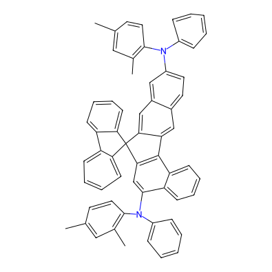 Cc1ccc(N(c2ccccc2)c2ccc3cc4c(cc3c2)C2(c3ccccc3-c3ccccc32)c2cc(N(c3ccccc3)c3ccc(C)cc3C)c3ccccc3c2-4)c(C)c1